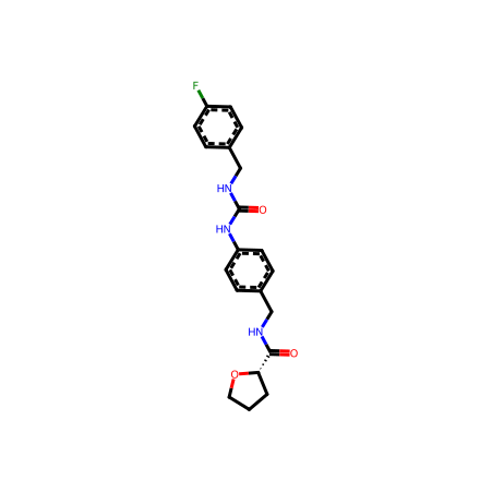 O=C(NCc1ccc(F)cc1)Nc1ccc(CNC(=O)[C@@H]2CCCO2)cc1